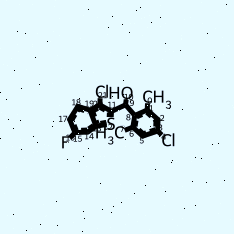 Cc1cc(Cl)cc(C)c1C(O)c1sc2cc(F)ccc2c1Cl